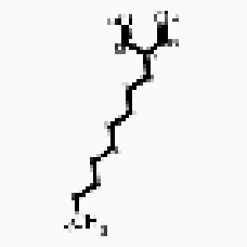 CCCCCCCCCC([C]=O)[C]=O